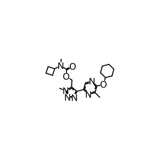 Cc1nc(-c2nnn(C)c2COC(=O)N(C)C2CCC2)cnc1OC1CCCCC1